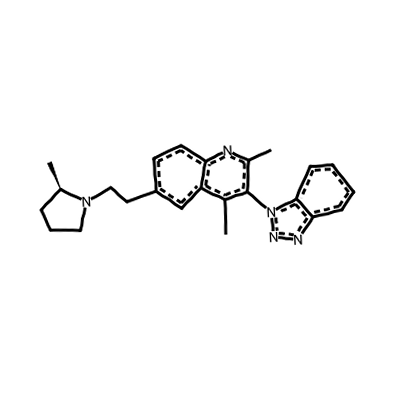 Cc1nc2ccc(CCN3CCC[C@H]3C)cc2c(C)c1-n1nnc2ccccc21